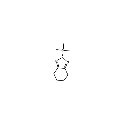 C[Si](C)(C)n1nc2c(n1)CCCC2